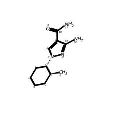 C[C@H]1CCCC[C@@H]1n1cc(C(N)=O)c(N)n1